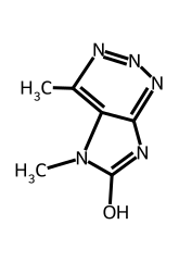 Cc1nnnc2nc(O)n(C)c12